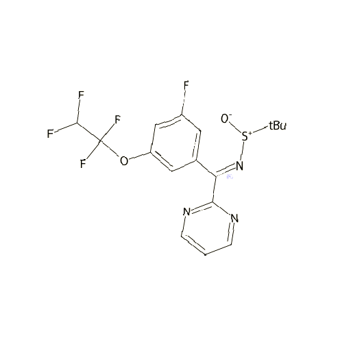 CC(C)(C)[S+]([O-])/N=C(\c1cc(F)cc(OC(F)(F)C(F)F)c1)c1ncccn1